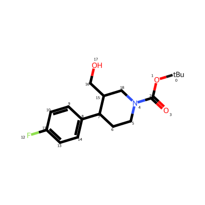 CC(C)(C)OC(=O)N1CCC(c2ccc(F)cc2)C(CO)C1